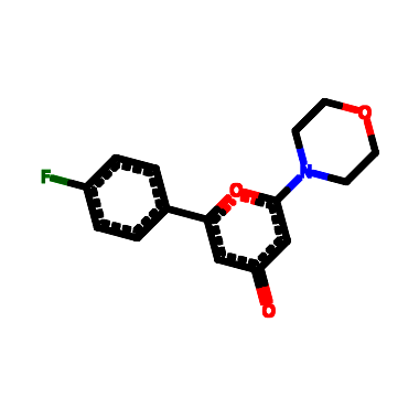 O=c1cc(-c2ccc(F)cc2)oc(N2CCOCC2)c1